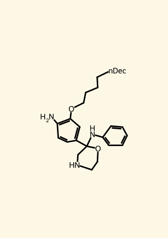 CCCCCCCCCCCCCCOc1cc(C2(Nc3ccccc3)CNCCO2)ccc1N